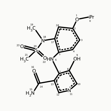 CC(C)Oc1ccc(Nc2c(O)cncc2C(N)=O)c(N(C)S(C)(=O)=O)c1